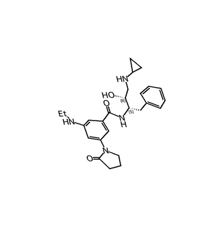 CCNc1cc(C(=O)N[C@@H](Cc2ccccc2)[C@H](O)CNC2CC2)cc(N2CCCC2=O)c1